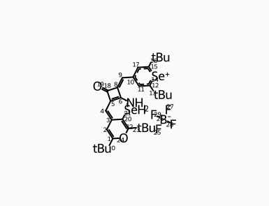 CC(C)(C)C1=CC(=CC2=C(N)C(=Cc3cc(C(C)(C)C)[se+]c(C(C)(C)C)c3)C2=O)C([SeH])=C(C(C)(C)C)O1.F[B-](F)(F)F